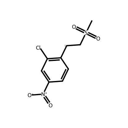 CS(=O)(=O)C[C]c1ccc([N+](=O)[O-])cc1Cl